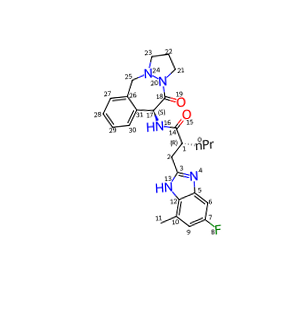 CCC[C@H](Cc1nc2cc(F)cc(C)c2[nH]1)C(=O)N[C@@H]1C(=O)N2CCCN2Cc2ccccc21